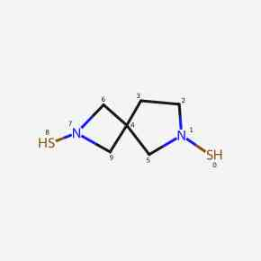 SN1CCC2(C1)CN(S)C2